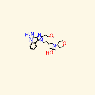 COCCc1nc2c(N)nc3ccccc3c2n1CCCCN(C1CCOCC1)C(C)(C)O